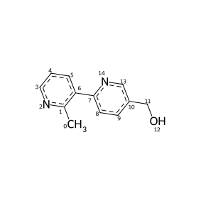 Cc1ncccc1-c1ccc(CO)cn1